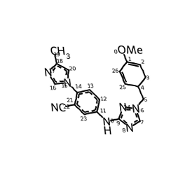 COC1=CCC(Cn2cnc(Nc3ccc(-n4cnc(C)c4)c(C#N)c3)n2)C=C1